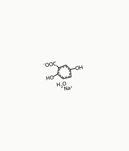 O.O=C([O-])c1cc(O)ccc1O.[Na+]